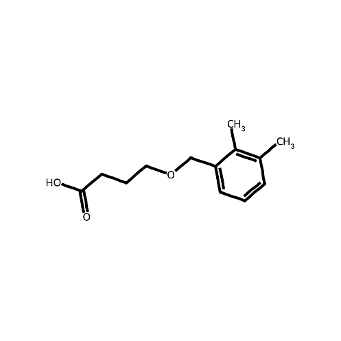 Cc1cccc(COCCCC(=O)O)c1C